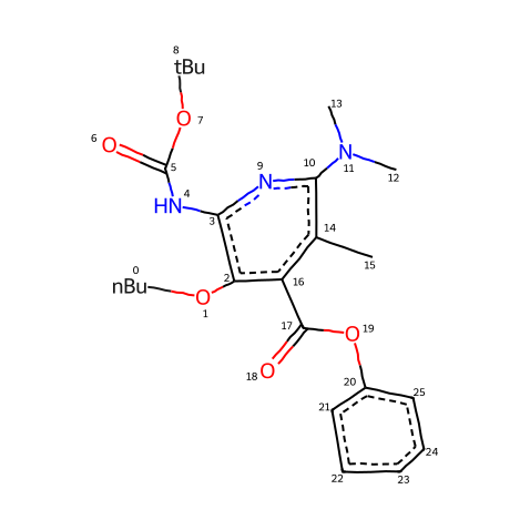 CCCCOc1c(NC(=O)OC(C)(C)C)nc(N(C)C)c(C)c1C(=O)Oc1ccccc1